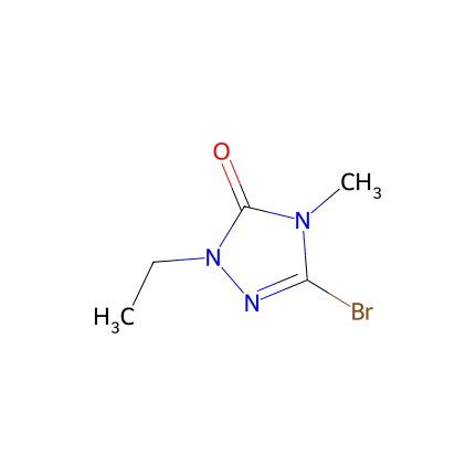 CCn1nc(Br)n(C)c1=O